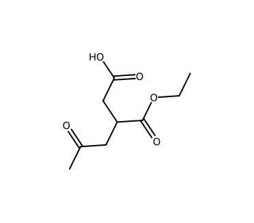 CCOC(=O)C(CC(C)=O)CC(=O)O